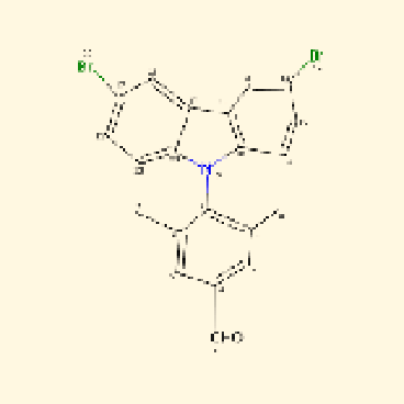 Cc1cc(C=O)cc(C)c1-n1c2ccc(Br)cc2c2cc(Br)ccc21